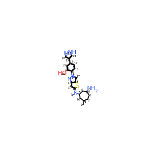 C[C@@H]1CC[C@@H](N)CC(N(C)c2cc3nn(-c4ccc(-c5cn[nH]c5)cc4O)cc3s2)C1